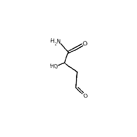 NC(=O)C(O)CC=O